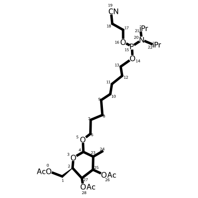 CC(=O)OC[C@H]1OC(OCCCCCCCCOP(OCCC#N)N(C(C)C)C(C)C)C(C)C(OC(C)=O)C1OC(C)=O